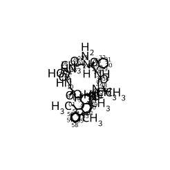 CCCC1=C2C[C@H]3OC(=O)CNC(=O)[C@H]([C@H](C)O)NC(=O)[C@H](CN)NC(=O)[C@H](C4CCCCC4)NC(=O)[C@H](CC(C)C)N(C)C(=O)[C@@H]3CC2(C)C=CC1(C)c1ccccc1